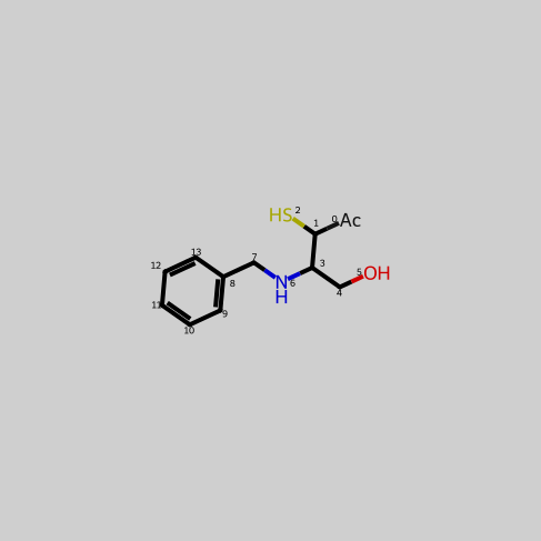 CC(=O)C(S)C(CO)NCc1ccccc1